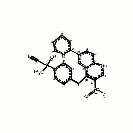 CC(C)(C#N)c1ccc(Cc2c([N+](=O)[O-])cnc3ccc(-c4ccccn4)cc23)cc1